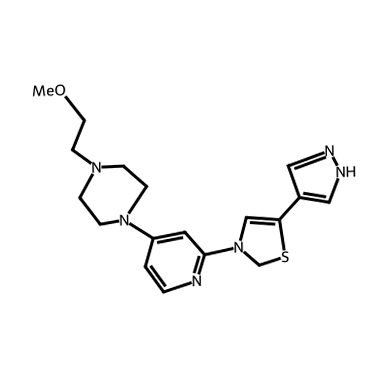 COCCN1CCN(c2ccnc(N3C=C(c4cn[nH]c4)SC3)c2)CC1